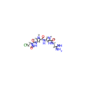 Cn1cc(NC(=O)c2cc(NC(=O)N(CCCl)N=O)cn2C)cc1C(=O)NCCC(=N)N